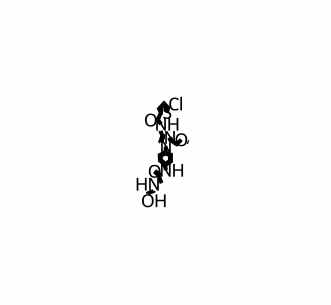 COCc1nc(CNC(=O)c2ccc(Cl)s2)cn1-c1ccc(NC(=O)CNCCO)cc1